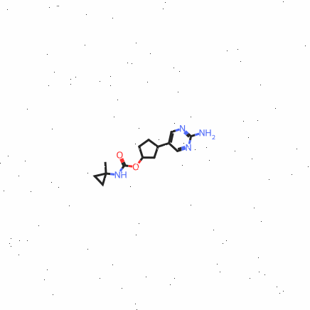 CC1(NC(=O)OC2CCC(c3cnc(N)nc3)C2)CC1